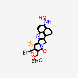 CC[C@@](O)(P)c1cc2n(c(=O)c1COC=O)Cc1c-2nc2ccc(NO)c3c2c1CCC3